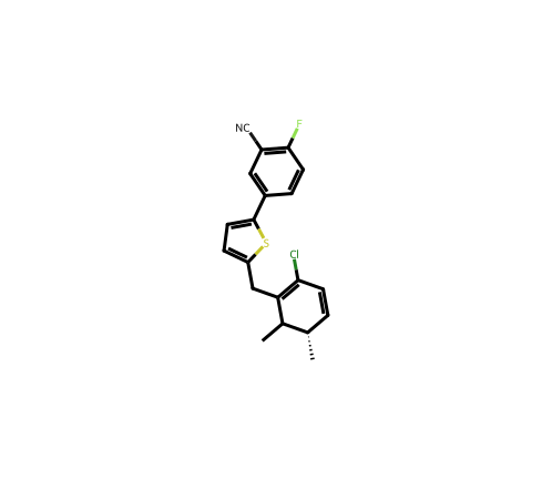 CC1C(Cc2ccc(-c3ccc(F)c(C#N)c3)s2)=C(Cl)C=C[C@@H]1C